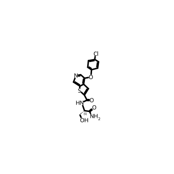 NC(=O)[C@H](CO)NC(=O)c1cc2c(Oc3ccc(Cl)cc3)cncc2s1